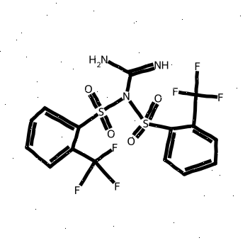 N=C(N)N(S(=O)(=O)c1ccccc1C(F)(F)F)S(=O)(=O)c1ccccc1C(F)(F)F